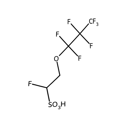 O=S(=O)(O)C(F)COC(F)(F)C(F)(F)C(F)(F)F